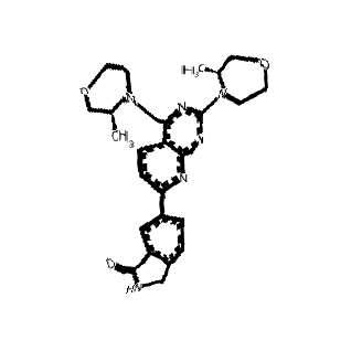 C[C@H]1COCCN1c1nc(N2CCOC[C@@H]2C)c2ccc(-c3ccc4c(c3)C(=O)NC4)nc2n1